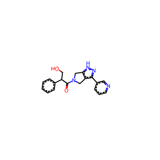 O=C(C(CO)c1ccccc1)N1Cc2[nH]nc(-c3cccnc3)c2C1